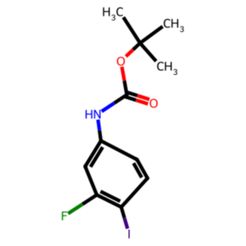 CC(C)(C)OC(=O)Nc1ccc(I)c(F)c1